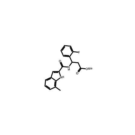 COC(=O)CC(NC(=O)c1cc2cccc(C)c2[nH]1)c1ccccc1F